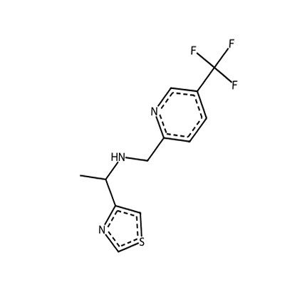 CC(NCc1ccc(C(F)(F)F)cn1)c1cscn1